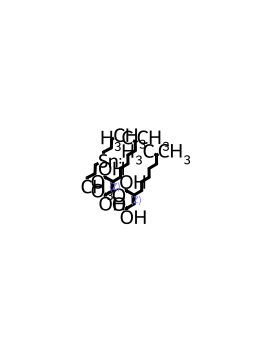 CC(C)CCCCC/C(=C/C(=O)O)C(=O)O.CC(C)CCCCC/C(=C/C(=O)O)C(=O)O.CCC[CH2][Sn][CH2]CCC